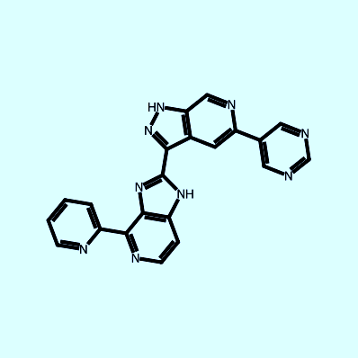 c1ccc(-c2nccc3[nH]c(-c4n[nH]c5cnc(-c6cncnc6)cc45)nc23)nc1